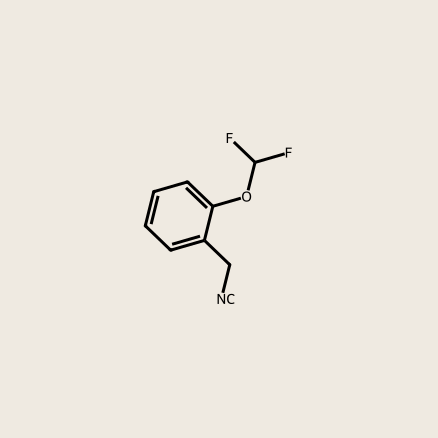 [C-]#[N+]Cc1ccccc1OC(F)F